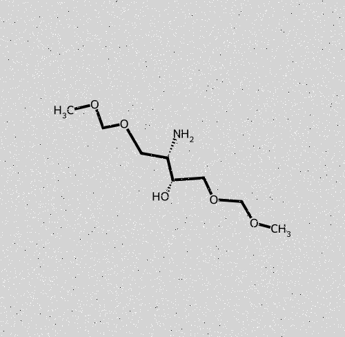 COCOC[C@H](N)[C@@H](O)COCOC